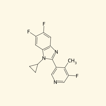 Cc1c(F)cncc1-c1nc2cc(F)c(F)cc2n1C1CC1